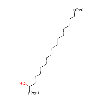 CCCCCCCCCCCCCCCCCCCCCCCCCC(O)CCCCC